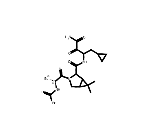 CC[C@@H](C)[C@H](NC(=O)C(C)C)C(=O)N1CC2C(C1C(=O)NC(CC1CC1)C(=O)C(N)=O)C2(C)C